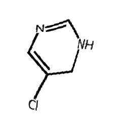 ClC1=CN=CNC1